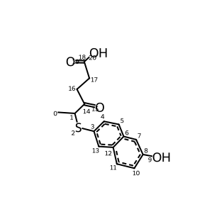 CC(Sc1ccc2cc(O)ccc2c1)C(=O)CCC(=O)O